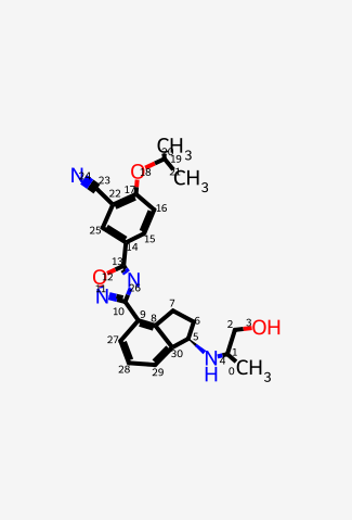 CC(CO)N[C@@H]1CCc2c(-c3noc(-c4ccc(OC(C)C)c(C#N)c4)n3)cccc21